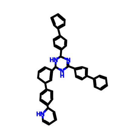 C1=CNC(c2ccc(C3C=C(C4NC(c5ccc(-c6ccccc6)cc5)=NC(c5ccc(-c6ccccc6)cc5)N4)C=CC3)cc2)C=C1